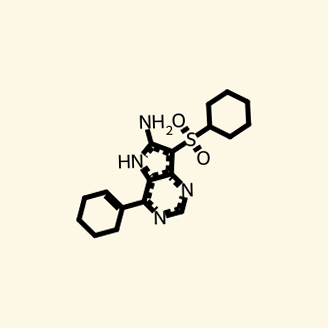 Nc1[nH]c2c(C3=CCCCC3)ncnc2c1S(=O)(=O)C1CCCCC1